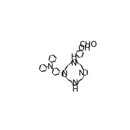 C1=Cc2cc3ccc(cc4nc(cc5ccc(cc1n2)[nH]5)C=C4)[nH]3.O=CO.c1ccc(N(c2ccccc2)c2ccccc2)cc1.c1ccccc1